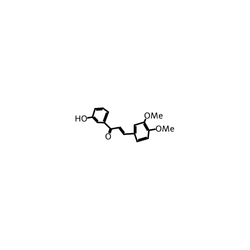 COc1ccc(C=CC(=O)c2cccc(O)c2)cc1OC